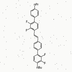 CCCCc1ccc(-c2ccc(/C=C/c3ccc(-c4ccc(CCC)cc4)c(F)c3F)cc2)c(F)c1F